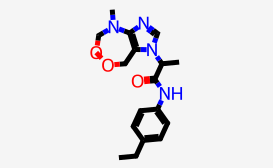 CCc1ccc(NC(=O)C(C)n2cnc3c2COOCN3C)cc1